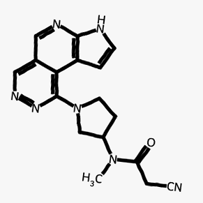 CN(C(=O)CC#N)C1CCN(c2nncc3cnc4[nH]ccc4c23)C1